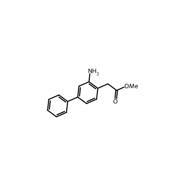 COC(=O)Cc1ccc(-c2ccccc2)cc1N